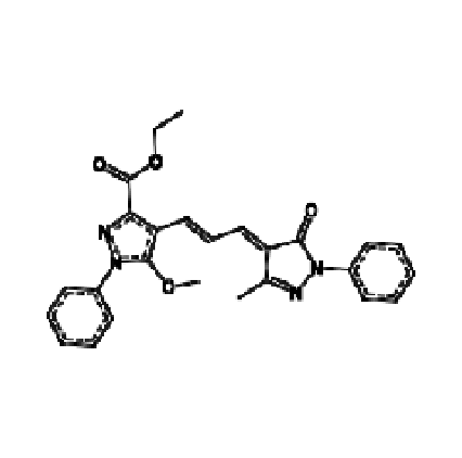 CCOC(=O)c1nn(-c2ccccc2)c(OC)c1C=CC=C1C(=O)N(c2ccccc2)N=C1C